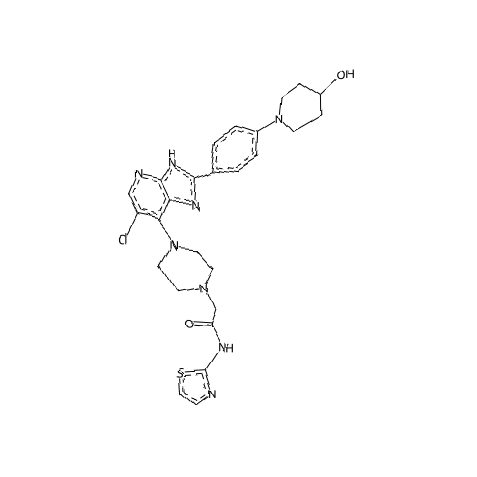 O=C(CN1CCN(c2c(Cl)cnc3[nH]c(-c4ccc(N5CCC(O)CC5)cc4)nc23)CC1)Nc1nccs1